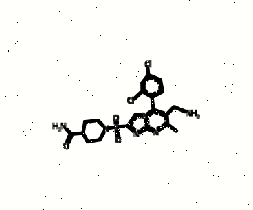 Cc1nc2nc(S(=O)(=O)N3CCC(C(N)=O)CC3)cn2c(-c2ccc(Cl)cc2Cl)c1CN